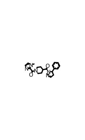 Cn1ccnc1C(=O)N1CCC(C(=O)N2N=CCC2c2ccccc2)CC1